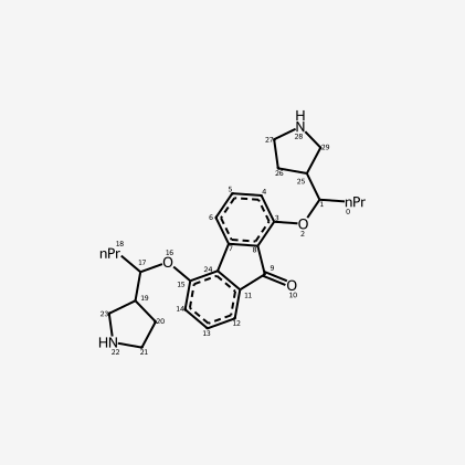 CCCC(Oc1cccc2c1C(=O)c1cccc(OC(CCC)C3CCNC3)c1-2)C1CCNC1